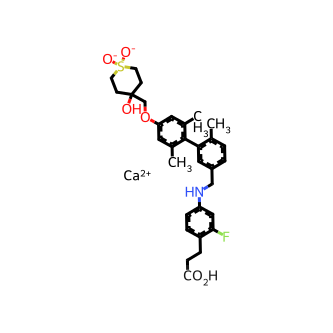 Cc1ccc(CNc2ccc(CCC(=O)O)c(F)c2)cc1-c1c(C)cc(OCC2(O)CCS([O-])([O-])CC2)cc1C.[Ca+2]